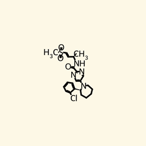 C[C@H](/C=C/S(C)(=O)=O)NC(=O)c1ncc(N2CCCCC[C@H]2c2ccccc2Cl)cn1